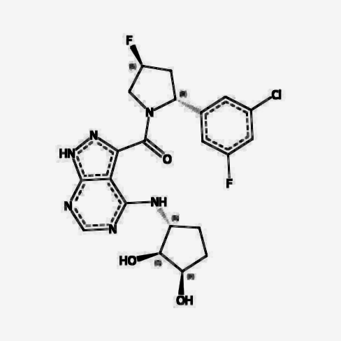 O=C(c1n[nH]c2ncnc(N[C@@H]3CC[C@@H](O)[C@H]3O)c12)N1C[C@@H](F)C[C@@H]1c1cc(F)cc(Cl)c1